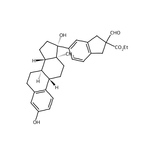 CCOC(=O)C1(C=O)Cc2ccc([C@]3(O)CC[C@H]4[C@@H]5CCc6cc(O)ccc6[C@H]5CC[C@@]43C)cc2C1